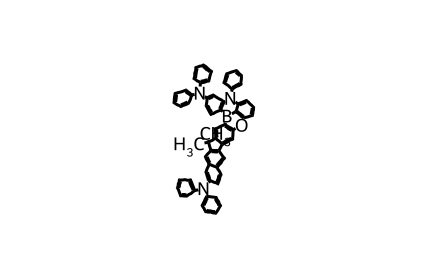 CC1(C)c2cc3c(cc2-c2cc4ccc(N(c5ccccc5)c5ccccc5)cc4cc21)Oc1cccc2c1B3c1ccc(N(c3ccccc3)c3ccccc3)cc1N2c1ccccc1